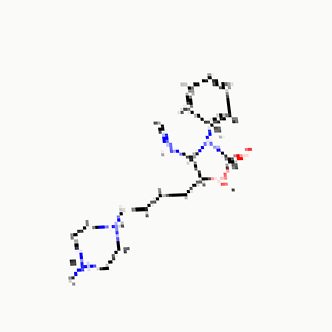 C=NC1C(CCCCN2CCN(C)CC2)OC(=O)N1c1ccccc1